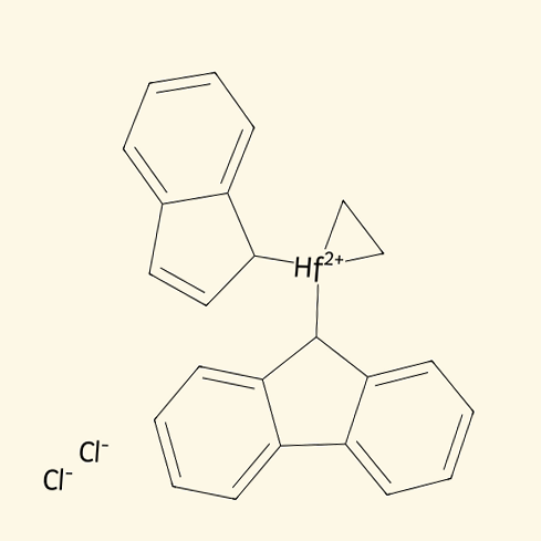 C1=C[CH]([Hf+2]2([CH]3c4ccccc4-c4ccccc43)[CH2][CH2]2)c2ccccc21.[Cl-].[Cl-]